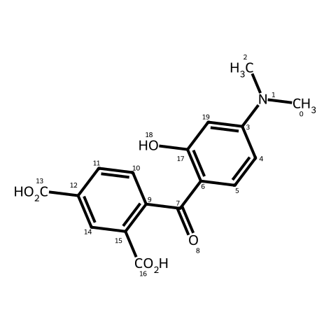 CN(C)c1ccc(C(=O)c2ccc(C(=O)O)cc2C(=O)O)c(O)c1